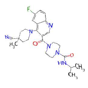 CC(C)NC(=O)N1CCN(C(=O)c2cnc3ccc(F)cc3c2N2CCC(C)(C#N)CC2)CC1